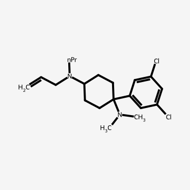 C=CCN(CCC)C1CCC(c2cc(Cl)cc(Cl)c2)(N(C)C)CC1